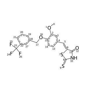 COc1cc(/C=C2\SC(=S)NC2=O)ccc1OCc1cccc(C(F)(F)F)c1